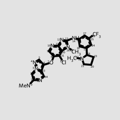 CNc1cn2ncc(Oc3cnc4nc(Nc5cc(C6CCCN6C)cc(C(F)(F)F)c5)n(C)c4c3Cl)c2cn1